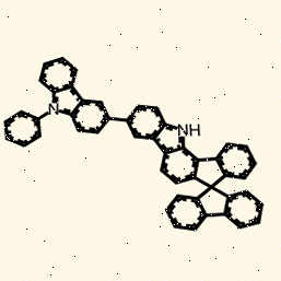 c1ccc(-n2c3ccccc3c3cc(-c4ccc5[nH]c6c7c(ccc6c5c4)C4(c5ccccc5-c5ccccc54)c4ccccc4-7)ccc32)cc1